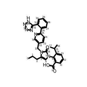 CCCc1cn(-c2c(C(=O)O)cccc2C(C)C)c(=O)n1Cc1ccc(-c2ccccc2-c2nnn[nH]2)nc1